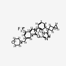 Cn1cnnc1C1(c2cccc(-n3cc4c(C(F)(F)F)cc(CN5CCOCC5)cn4c3=O)c2)CC2(CC2)C1